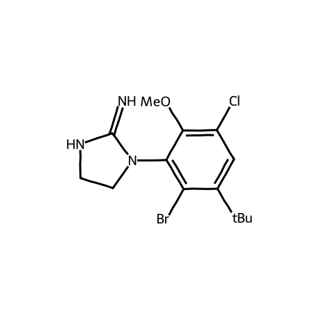 COc1c(Cl)cc(C(C)(C)C)c(Br)c1N1CCNC1=N